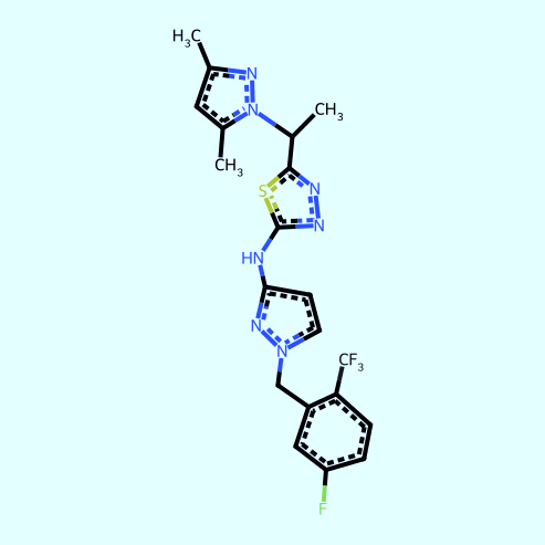 Cc1cc(C)n(C(C)c2nnc(Nc3ccn(Cc4cc(F)ccc4C(F)(F)F)n3)s2)n1